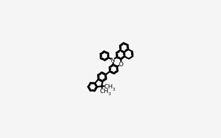 CC1(C)c2ccccc2-c2ccc(-c3ccc4c(c3)N(c3ccccc3)c3cc5cccc6c5c(c3O4)CC=C6)cc21